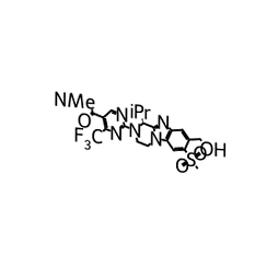 CNC(=O)c1cnc(N2CCn3c(nc4cc(CO)c(S(C)(=O)=O)cc43)[C@H]2C(C)C)nc1C(F)(F)F